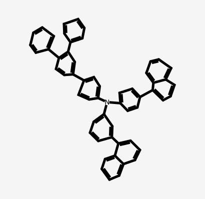 c1ccc(-c2ccc(-c3ccc(N(c4ccc(-c5cccc6ccccc56)cc4)c4cccc(-c5cccc6ccccc56)c4)cc3)cc2-c2ccccc2)cc1